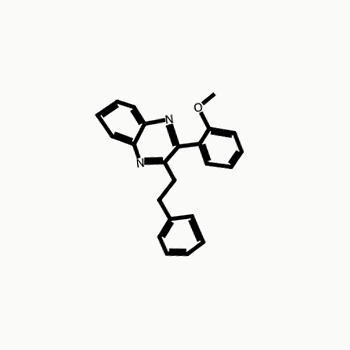 COc1ccccc1-c1nc2ccccc2nc1CCc1ccccc1